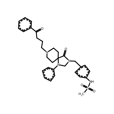 CS(=O)(=O)Nc1ccc(CN2CN(c3ccccc3)C3(CCN(CCCC(=O)c4ccccc4)CC3)C2=O)cc1